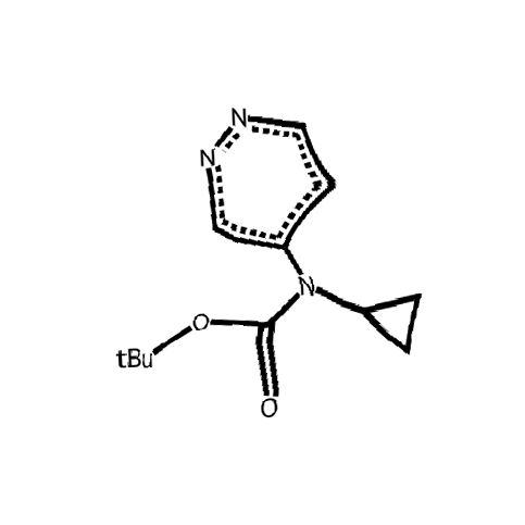 CC(C)(C)OC(=O)N(c1ccnnc1)C1CC1